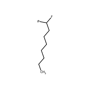 CCCCCCCC(F)[P]